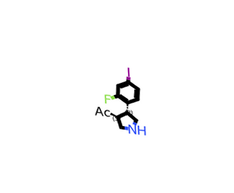 CC(=O)[C@@H]1CNC[C@H]1c1ccc(I)cc1F